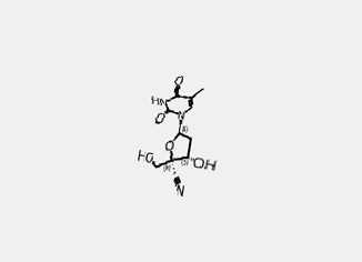 Cc1cn([C@H]2C[C@H](O)[C@@](C#N)(CO)O2)c(=O)[nH]c1=O